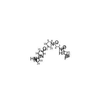 O=C(NCCC(=O)N1CCC[C@@H](COc2ccc(-c3ccn[nH]3)nc2)C1)C1CC(F)(F)C1